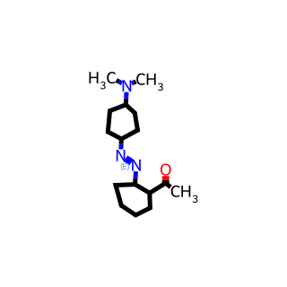 CC(=O)C1CCCCC1/N=N/C1CCC(N(C)C)CC1